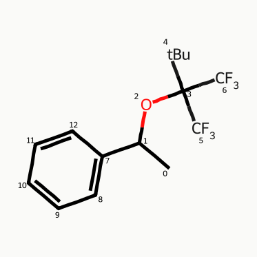 CC(OC(C(C)(C)C)(C(F)(F)F)C(F)(F)F)c1ccccc1